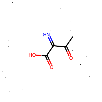 CC(=O)C(=N)C(=O)O